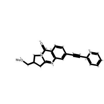 COCC1Cc2nc3cc(C#Cc4ccccn4)ccc3c(=O)n2C1